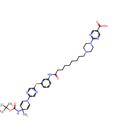 CC1(NC(=O)OC(C)(C)C)C=CN(c2cnc(Sc3cccc(NC(=O)CCCCCCCCN4CCN(c5ncc(C(=O)O)cn5)CC4)c3)cn2)C=C1